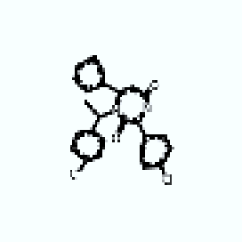 CC(c1ccc(Cl)cc1)n1c(-c2ccccc2)cc(=O)nc(-c2ccc(Cl)cc2)c1=O